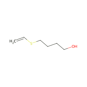 C=CSCCCCO